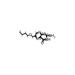 CCCCOCc1cnc2nc(N)[nH]c(=O)c2n1